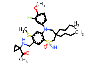 CCCCC1(CCCC)CN(c2ccc(OC)c(F)c2)c2cc(SC)c(CNC3(C(C)=O)CC3)cc2S(=N)(=O)C1